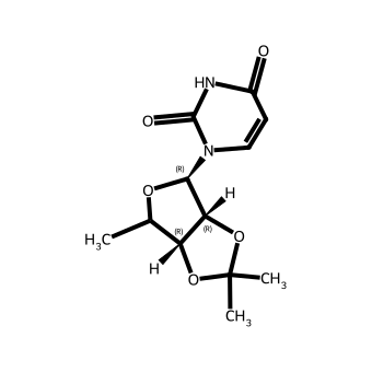 CC1O[C@@H](n2ccc(=O)[nH]c2=O)[C@@H]2OC(C)(C)O[C@H]12